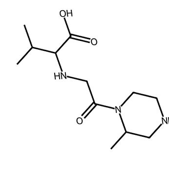 CC(C)C(NCC(=O)N1CCNCC1C)C(=O)O